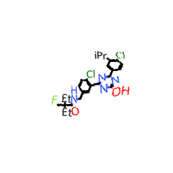 CCC(CC)(CF)C(=O)NCc1ccc(Cl)c(-c2nc(O)nc(-c3ccc(Cl)c(C(C)C)c3)n2)c1